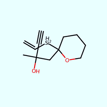 C#CC(C)(O)CC1([SiH2]C=C)CCCCO1